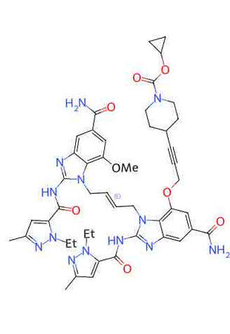 CCn1nc(C)cc1C(=O)Nc1nc2cc(C(N)=O)cc(OC)c2n1C/C=C/Cn1c(NC(=O)c2cc(C)nn2CC)nc2cc(C(N)=O)cc(OCC#CC3CCN(C(=O)OC4CC4)CC3)c21